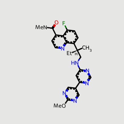 CC[C@@](C)(CNc1cc(-c2cnc(OC)nc2)ncn1)c1ccc(F)c2c(C(=O)NC)ccnc12